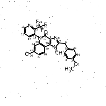 COc1ccc(Cc2nc3c(=O)n(-c4cccnc4C(F)(F)F)c4cc(Cl)ccc4c3n2C)cc1